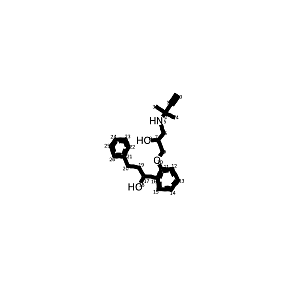 C#CC(C)(C)NCC(O)COc1ccccc1C(O)CCc1ccccc1